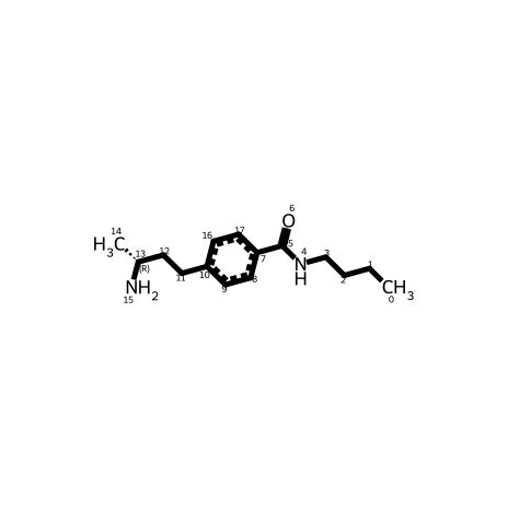 CCCCNC(=O)c1ccc(CC[C@@H](C)N)cc1